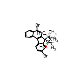 C[Si](C)(C)C1([Si](C)(C)C)c2cc(Br)ccc2-c2c1cc(Br)c1ccccc21